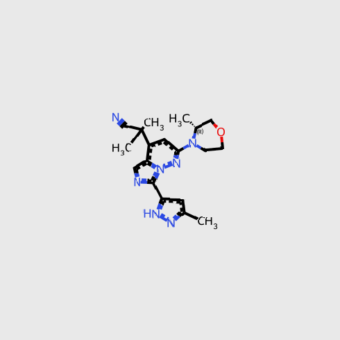 Cc1cc(-c2ncc3c(C(C)(C)C#N)cc(N4CCOC[C@H]4C)nn23)[nH]n1